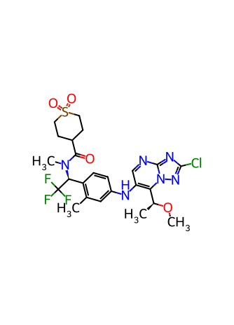 CO[C@@H](C)c1c(Nc2ccc([C@H](N(C)C(=O)C3CCS(=O)(=O)CC3)C(F)(F)F)c(C)c2)cnc2nc(Cl)nn12